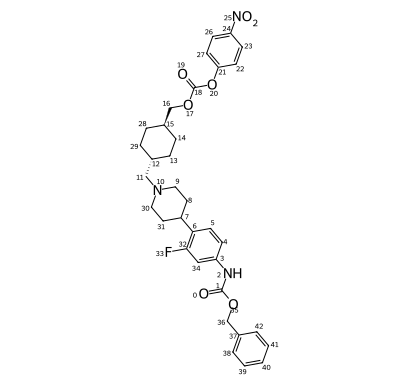 O=C(Nc1ccc(C2CCN(C[C@H]3CC[C@H](COC(=O)Oc4ccc([N+](=O)[O-])cc4)CC3)CC2)c(F)c1)OCc1ccccc1